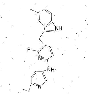 CCc1ccc(Nc2ccc(Cc3c[nH]c4ccc(C)cc34)c(F)n2)cn1